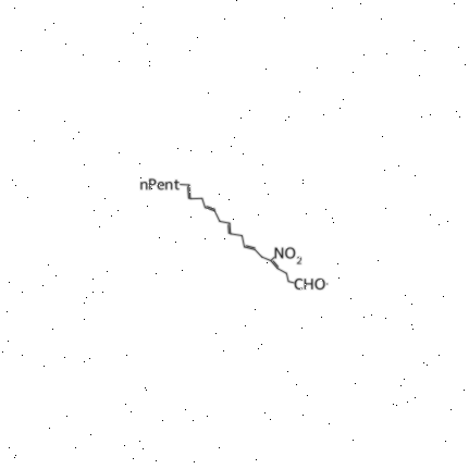 CCCCC/C=C/C/C=C/C/C=C/C/C=C/C/C(=C/CC[C]=O)[N+](=O)[O-]